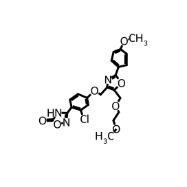 COCCOCc1oc(-c2ccc(OC)cc2)nc1COc1ccc(-c2noc(=O)[nH]2)c(Cl)c1